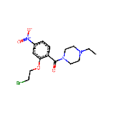 CCN1CCN(C(=O)c2ccc([N+](=O)[O-])cc2OCCBr)CC1